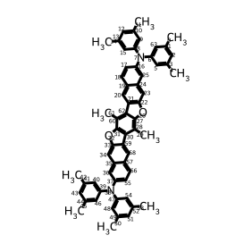 Cc1cc(C)cc(N(c2cc(C)cc(C)c2)c2ccc3cc4c(cc3c2)oc2c(C)c3c(oc5cc6cc(N(c7cc(C)cc(C)c7)c7cc(C)cc(C)c7)ccc6cc53)c(C)c24)c1